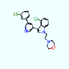 Clc1cccc(-c2cncc(-c3cn(CCN4CCOCC4)c4cccc(Cl)c34)c2)c1